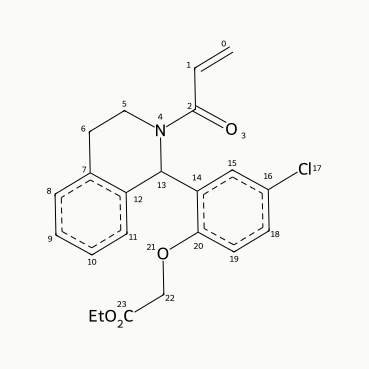 C=CC(=O)N1CCc2ccccc2C1c1cc(Cl)ccc1OCC(=O)OCC